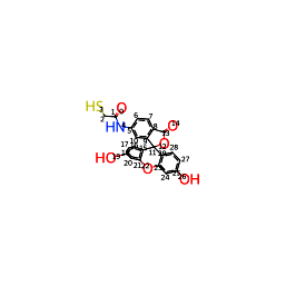 O=C(CS)Nc1ccc2c(c1)C1(OC2=O)c2ccc(O)cc2Oc2cc(O)ccc21